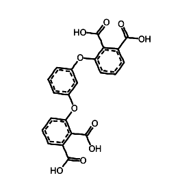 O=C(O)c1cccc(Oc2cccc(Oc3cccc(C(=O)O)c3C(=O)O)c2)c1C(=O)O